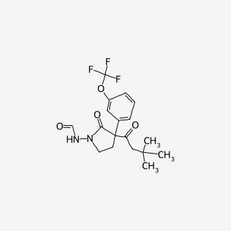 CC(C)(C)CC(=O)C1(c2cccc(OC(F)(F)F)c2)CCN(NC=O)C1=O